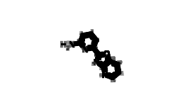 Nc1cccc(-c2nc3ncccc3o2)n1